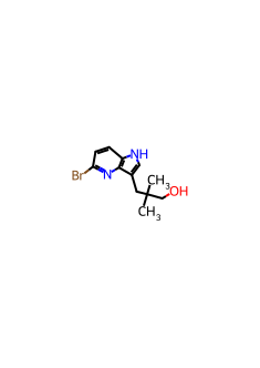 CC(C)(CO)Cc1c[nH]c2ccc(Br)nc12